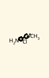 CCN1CCC(c2ccc(N)cc2Cl)CC1